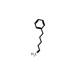 C=CCC[CH]Cc1ccccc1